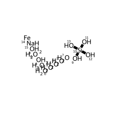 O.O.O.O.O.O.O.O.O.O[Si](O)(O)O.[Fe].[NaH]